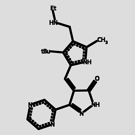 CCNCc1c(C)[nH]c(C=C2C(=O)NN=C2c2cnccn2)c1C(C)(C)C